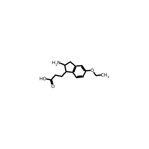 CCOc1ccc2c(c1)CC(N)C2CCC(=O)O